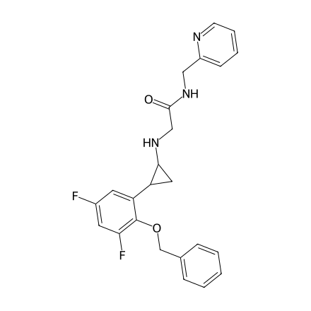 O=C(CNC1CC1c1cc(F)cc(F)c1OCc1ccccc1)NCc1ccccn1